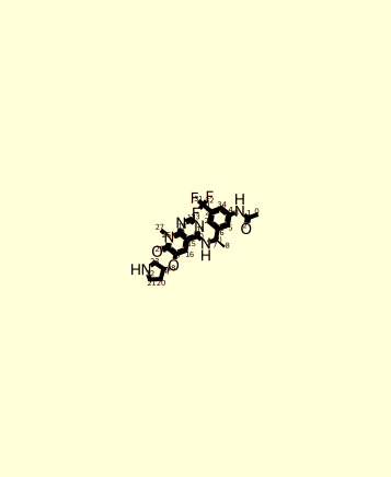 CC(=O)Nc1cc([C@@H](C)Nc2ncnc3c2cc(O[C@@H]2CCNC2)c(=O)n3C)cc(C(F)(F)F)c1